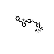 NC(=O)c1ccc(CCCN2CCN(c3nnc(Cc4ccccc4)c4ccccc34)CC2)nc1